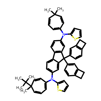 CC1(C)C=CC=C(N(c2ccc3c(c2)C(c2ccc4c(c2)CC4)(c2ccc4c(c2)CC4)c2cc(N(C4=CC=CC(C)(C(C)(C)C)C=C4)c4cccs4)ccc2-3)c2cccs2)C=C1